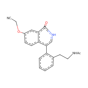 CC(=O)NCCc1ccccc1-c1c[nH]c(=O)c2cc(OCC#N)ccc12